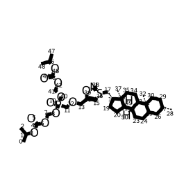 CC(C)OC(=O)OCOP(=O)(COCC1=CS(C[C@H]2CC[C@H]3[C@@H]4CCC5C[C@@H](C)CC[C@]5(C)C4CC[C@]23C)=NO1)OCOC(=O)OC(C)C